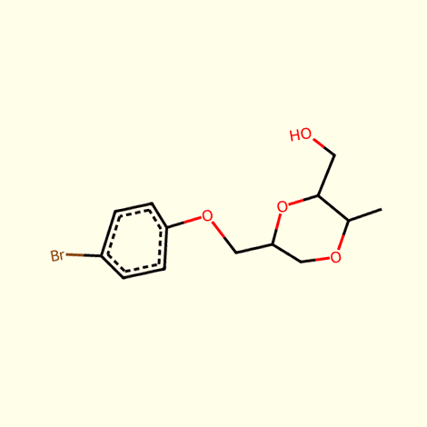 CC1OCC(COc2ccc(Br)cc2)OC1CO